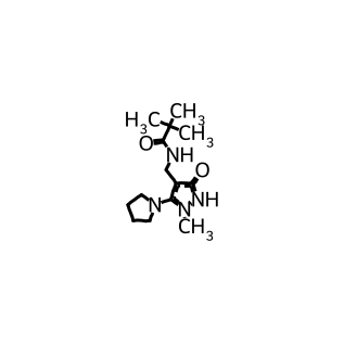 Cn1[nH]c(=O)c(CNC(=O)C(C)(C)C)c1N1CCCC1